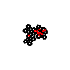 c1ccc2c(c1)-c1ccccc1C21c2ccccc2-c2ccc([Si](c3ccc4c(c3)C3(c5ccccc5-c5ccccc53)c3ccccc3-4)(c3ccc4c(c3)C3(c5ccccc5-c5ccccc53)c3ccccc3-4)c3ccc4c(c3)C3(c5ccccc5-c5ccccc53)c3ccccc3-4)cc21